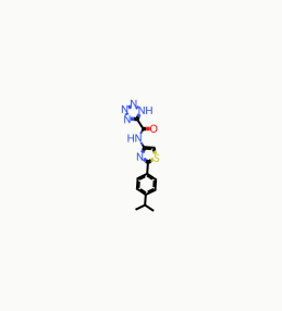 CC(C)c1ccc(-c2nc(NC(=O)c3nnn[nH]3)cs2)cc1